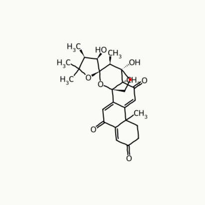 C[C@@H]1[C@]2(OC(C)(C)[C@@H](C)[C@H]2O)O[C@]23CC[C@@]1(O)[C@@]2(C)C(=O)C=C1C3=CC(=O)C2=CC(=O)CCC21C